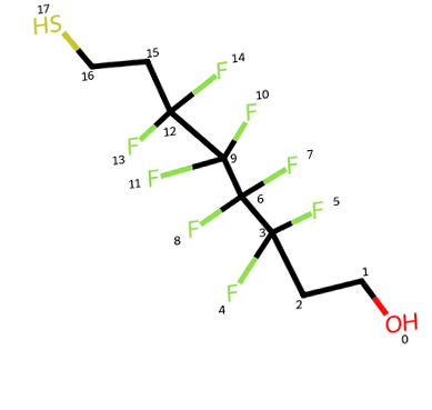 OCCC(F)(F)C(F)(F)C(F)(F)C(F)(F)CCS